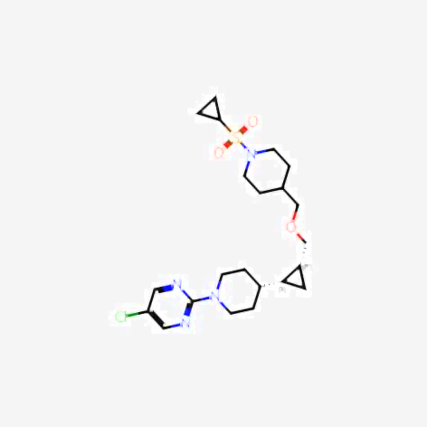 O=S(=O)(C1CC1)N1CCC(COC[C@@H]2C[C@@H]2C2CCN(c3ncc(Cl)cn3)CC2)CC1